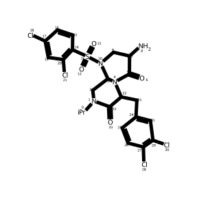 CC(C)N1CC2N(C(=O)C(N)CN2S(=O)(=O)c2ccc(Cl)cc2Cl)C(Cc2ccc(Cl)c(Cl)c2)C1=O